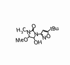 COC1C(O)N(c2cc(C(C)(C)C)on2)C(=O)N1C